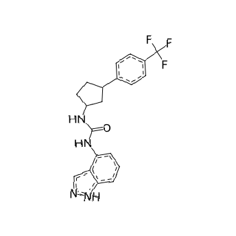 O=C(Nc1cccc2[nH]ncc12)NC1CCC(c2ccc(C(F)(F)F)cc2)C1